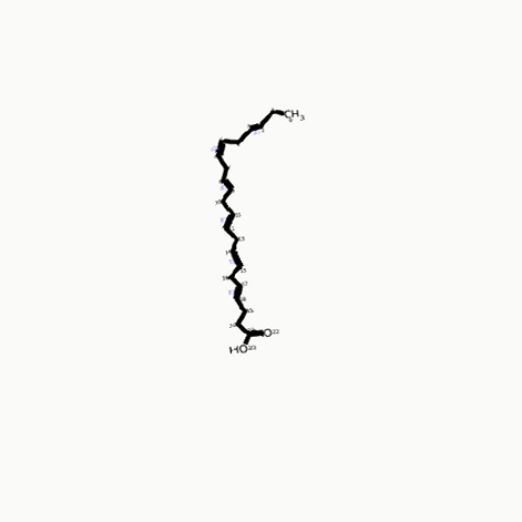 CC/C=C/C/C=C\C/C=C/C/C=C/C/C=C/C/C=C/CCC(=O)O